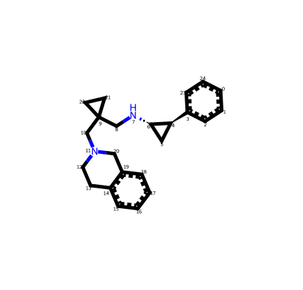 c1ccc([C@H]2C[C@@H]2NCC2(CN3CCc4ccccc4C3)CC2)cc1